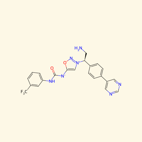 NC[C@@H](c1ccc(-c2cncnc2)cc1)[n+]1cc([N-]C(=O)Nc2cccc(C(F)(F)F)c2)on1